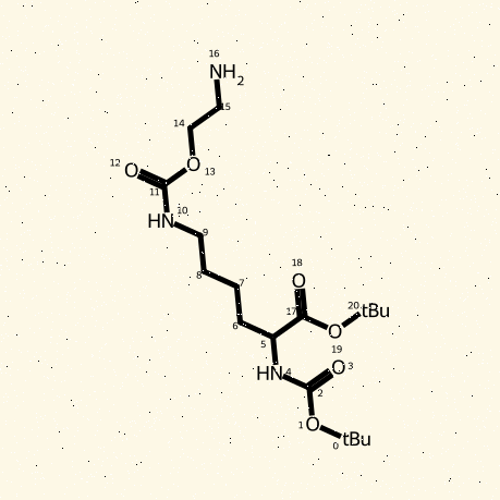 CC(C)(C)OC(=O)NC(CCCCNC(=O)OCCN)C(=O)OC(C)(C)C